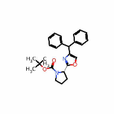 CC(C)(C)OC(=O)N1CCC[C@H]1c1nc(C(c2ccccc2)c2ccccc2)co1